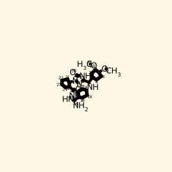 COc1ccc(C(Nc2ccc(C(=N)N)cc2)c2nn(-c3ccccc3C(N)=O)c(=O)[nH]2)cc1OC